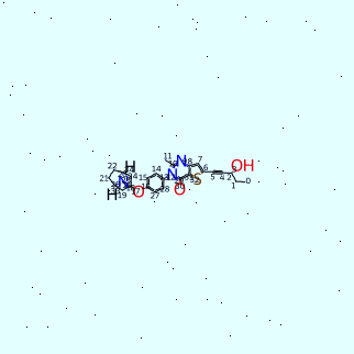 CCC(O)C#Cc1cc2nc(C)n(-c3ccc(O[C@H]4C[C@H]5CC[C@@H](C4)N5C)cc3)c(=O)c2s1